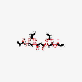 C=CC(=O)OC(COC(=O)CC(=O)OCC(OC(=O)C=C)OC(=O)C=C)OC(=O)C=C